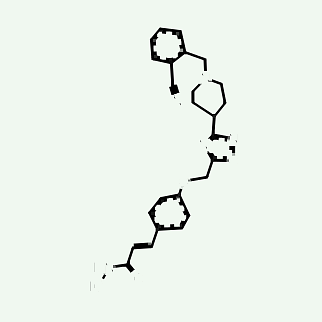 N#Cc1ccccc1CN1CCC(c2noc(COc3ccc(C=CC(=O)NO)cc3)n2)CC1